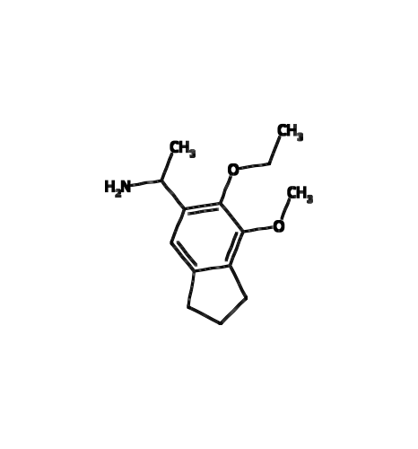 CCOc1c(C(C)N)cc2c(c1OC)CCC2